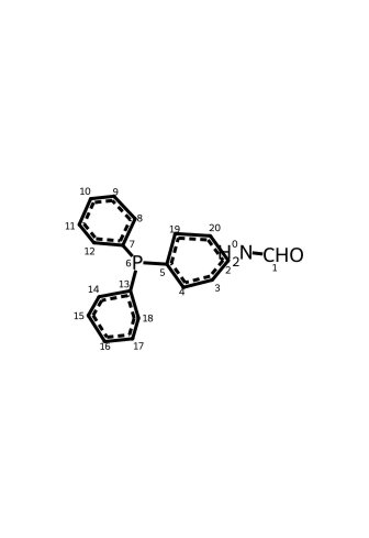 NC=O.c1ccc(P(c2ccccc2)c2ccccc2)cc1